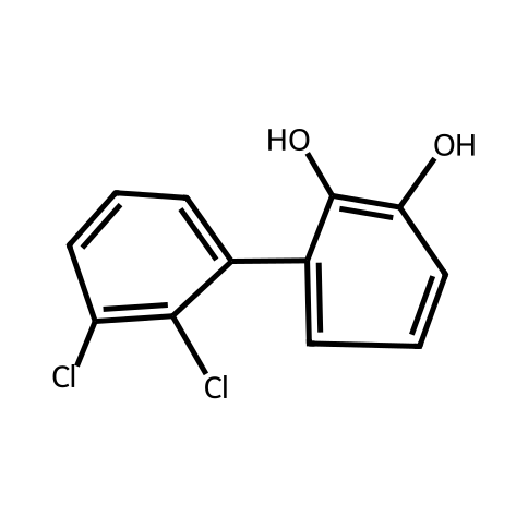 Oc1cccc(-c2cccc(Cl)c2Cl)c1O